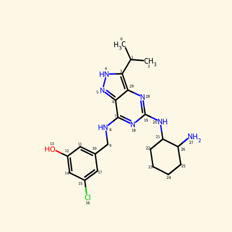 CC(C)c1[nH]nc2c(NCc3cc(O)cc(Cl)c3)nc(NC3CCCCC3N)nc12